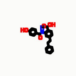 O=C(Nc1cc(CCc2ccccc2)ccc1C(=O)O)c1ccc(O)cc1